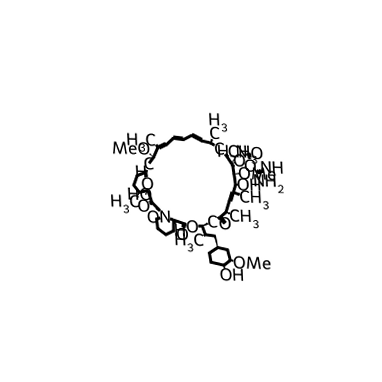 CO[C@H]1C[C@@H]2CC[C@@H](C)[C@@](O)(O2)C(=O)C(=O)N2CCCC[C@H]2C(=O)O[C@H]([C@H](C)C[C@@H]2CC[C@@H](O)[C@H](OC)C2)CC(=O)[C@H](C)/C=C(\C)[C@@H](O)[C@@H](OC)C(=O)[C@H](C)C[C@H](C)/C=C/C=C/C=C/1C.N=C(N)OC(N)=O